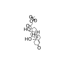 C[C@]12CCC(=O)C=C1CC[C@H]1[C@@H]3CC[C@](O)(C(=O)COS(C)(=O)=O)[C@@]3(C)C[C@H](O)[C@@]12F